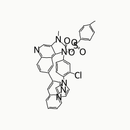 Cc1ccc(S(=O)(=O)O[N+]2(c3ccc(-n4ccnc4)c(Cl)c3)C(=O)N(C)c3cnc4ccc(-c5cnc6ccccc6c5)cc4c32)cc1